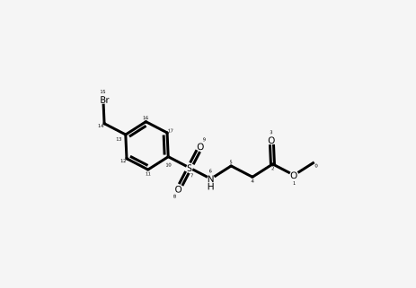 COC(=O)CCNS(=O)(=O)c1ccc(CBr)cc1